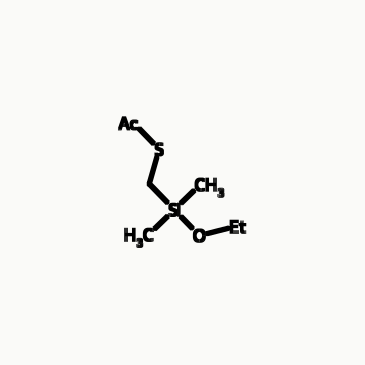 CCO[Si](C)(C)CSC(C)=O